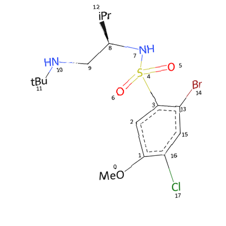 COc1cc(S(=O)(=O)N[C@@H](CNC(C)(C)C)C(C)C)c(Br)cc1Cl